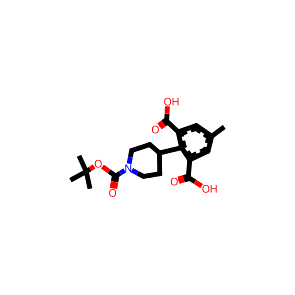 Cc1cc(C(=O)O)c(C2CCN(C(=O)OC(C)(C)C)CC2)c(C(=O)O)c1